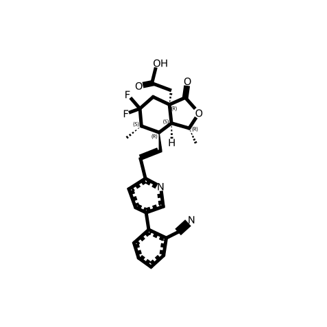 C[C@H]1OC(=O)[C@]2(CC(=O)O)CC(F)(F)[C@@H](C)[C@H](C=Cc3ccc(-c4ccccc4C#N)cn3)[C@H]12